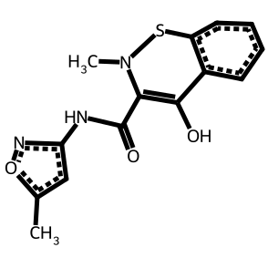 Cc1cc(NC(=O)C2=C(O)c3ccccc3SN2C)no1